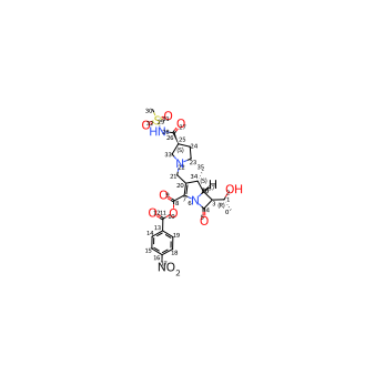 C[C@@H](O)C1C(=O)N2C(C(=O)OC(=O)c3ccc([N+](=O)[O-])cc3)=C(CN3CC[C@H](C(=O)NS(C)(=O)=O)C3)[C@H](C)[C@H]12